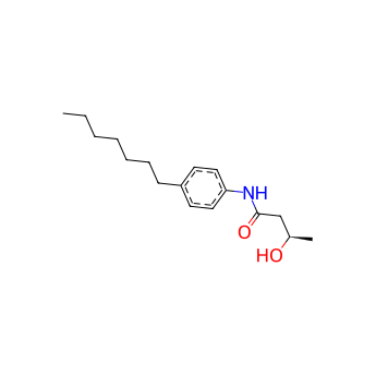 CCCCCCCc1ccc(NC(=O)C[C@@H](C)O)cc1